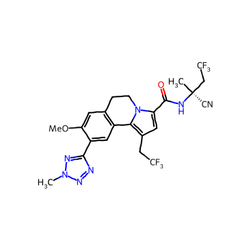 COc1cc2c(cc1-c1nnn(C)n1)-c1c(CC(F)(F)F)cc(C(=O)N[C@](C)(C#N)CC(F)(F)F)n1CC2